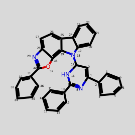 C1=C(c2ccccc2)N=C(c2ccccc2)NC1n1c2ccccc2c2ccc3nc(-c4ccccc4)oc3c21